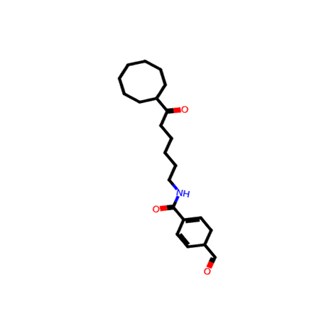 O=CC1C=CC(C(=O)NCCCCCC(=O)C2CCCCCCC2)=CC1